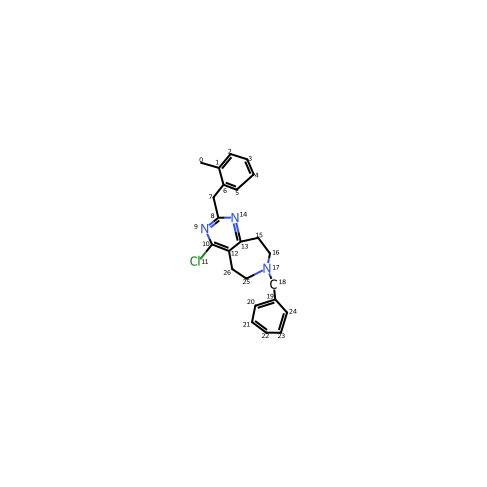 Cc1ccccc1Cc1nc(Cl)c2c(n1)CCN(Cc1ccccc1)CC2